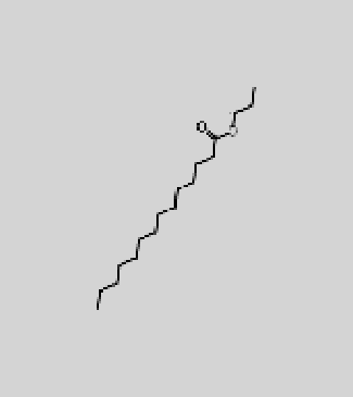 CC[CH]OC(=O)CCCCCCCCCCCCC